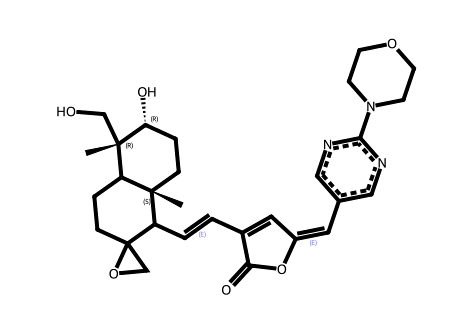 C[C@]12CC[C@@H](O)[C@@](C)(CO)C1CCC1(CO1)C2/C=C/C1=CC(=C\c2cnc(N3CCOCC3)nc2)/OC1=O